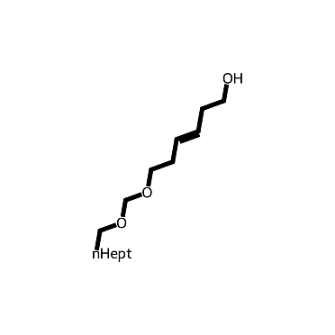 CCCCCCCCOCOCC/C=C/CCO